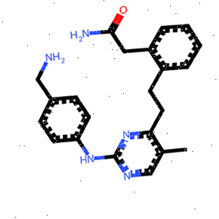 Cc1cnc(Nc2ccc(CN)cc2)nc1CCc1ccccc1CC(N)=O